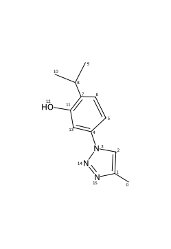 Cc1cn(-c2ccc(C(C)C)c(O)c2)nn1